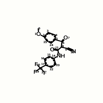 COc1ccc(C(=O)C(C#N)C(=O)Nc2ccc(C(F)(F)F)cc2)cc1